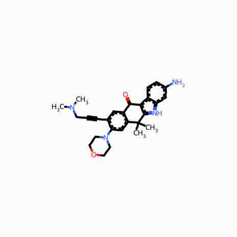 CN(C)CC#Cc1cc2c(cc1N1CCOCC1)C(C)(C)c1[nH]c3cc(N)ccc3c1C2=O